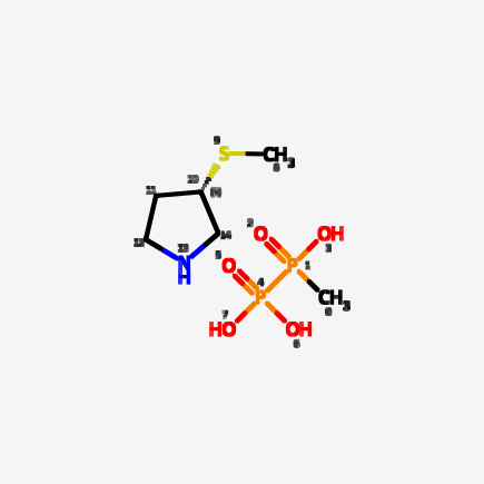 CP(=O)(O)P(=O)(O)O.CS[C@H]1CCNC1